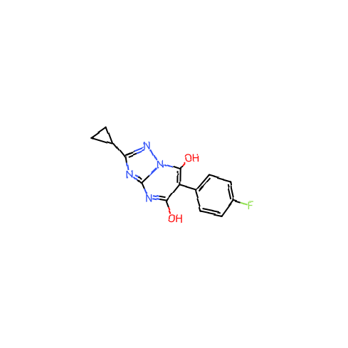 Oc1nc2nc(C3CC3)nn2c(O)c1-c1ccc(F)cc1